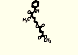 COC(=O)/C=C/C(=O)OCCCN(C)C(=O)Nc1ccccc1